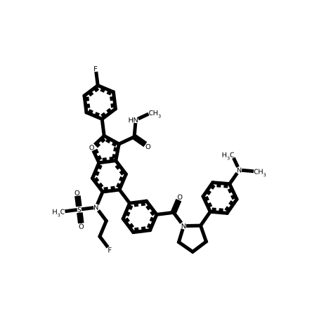 CNC(=O)c1c(-c2ccc(F)cc2)oc2cc(N(CCF)S(C)(=O)=O)c(-c3cccc(C(=O)N4CCCC4c4ccc(N(C)C)cc4)c3)cc12